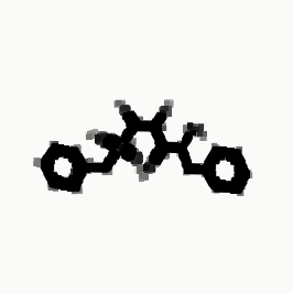 N[C@@H](Cc1ccccc1)C(=O)C(Cl)C(=O)S(=O)(=O)Cc1ccccc1